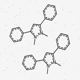 Cn1c(-c2ccccc2)cc(-c2ccccc2)[n+]1C.Cn1c(-c2ccccc2)cc(-c2ccccc2)[n+]1C